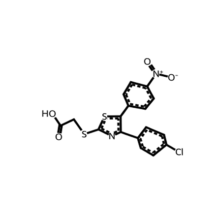 O=C(O)CSc1nc(-c2ccc(Cl)cc2)c(-c2ccc([N+](=O)[O-])cc2)s1